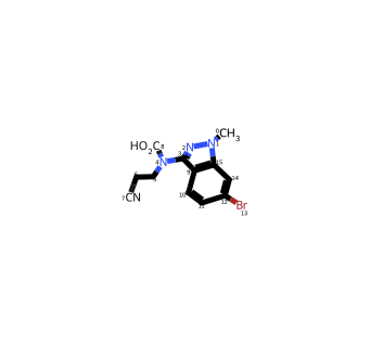 Cn1nc(N(CCC#N)C(=O)O)c2ccc(Br)cc21